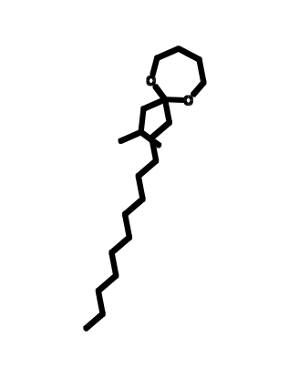 CCCCCCCCCCCCC1(CC(C)C)OCCCCO1